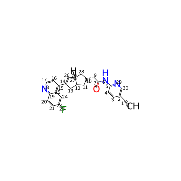 C#Cc1ccc(NC(=O)C[C@@H]2CC3CC(c4ccnc5ccc(F)cc45)=C[C@@H]3C2)nc1